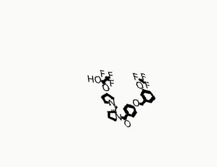 O=C(O)C(F)(F)F.O=C(c1ccc(OCc2cccc(OC(F)(F)F)c2)cc1)N1CCC[C@H]1CN1CCCC1